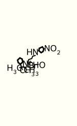 CC1=[N+](C(C=O)CCCCNc2ccc([N+](=O)[O-])cc2)c2ccccc2C1(C)C.[Br-]